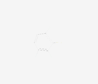 Fc1ccc(Cl)c(S)c1Cl